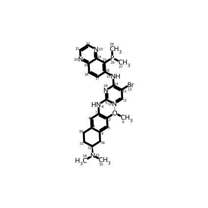 COc1cc2c(cc1Nc1ncc(Br)c(Nc3ccc4nccnc4c3P(C)C)n1)CC[C@H](N(C)C)C2